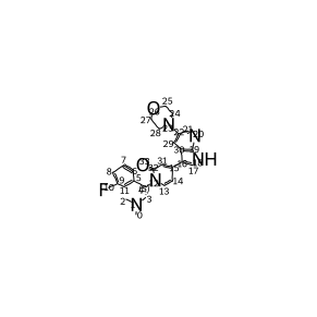 CN(C)C[C@H](c1c#ccc(F)c1)n1ccc(-c2c[nH]c3ncc(N4CCOCC4)cc23)cc1=O